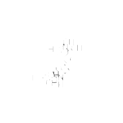 C[C@@H](c1ccc(N2CC[C@H](NC(=O)OC(C)(C)C)C2=O)cc1)N(C)C